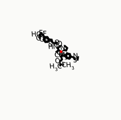 CCC(CC)[C@H](NC(=O)c1cc2cc(C(F)(F)P(=O)(O)O)ccc2s1)C(=O)N1CCC[C@H]1C(=O)N(CCC(=O)N(C)C)c1ccc(-c2nccs2)cc1